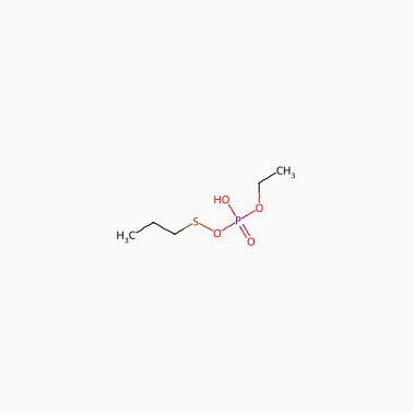 CCCSOP(=O)(O)OCC